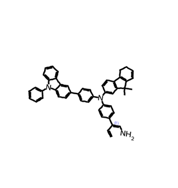 C=C/C(=C\N)c1ccc(N(c2ccc(-c3ccc4c(c3)c3ccccc3n4-c3ccccc3)cc2)c2ccc3c(c2)C(C)(C)C2=C3CCC=C2)cc1